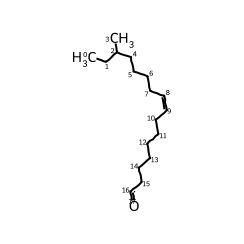 CCC(C)CCCC/C=C\CCCCCC[C]=O